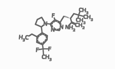 C=C(N)[C@H](Cc1ncnc(N2CCCC2c2ccc(C(C)(F)F)cc2CC)c1F)CC(C)(C)C